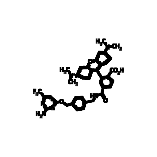 CN(C)c1ccc2c(-c3cc(C(=O)NCc4ccc(COc5cc(C(F)(F)F)nc(N)n5)cc4)ccc3C(=O)O)c3ccc(=[N+](C)C)cc-3oc2c1